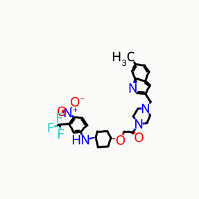 Cc1ccc2cc(CN3CCN(C(=O)CO[C@H]4CC[C@H](Nc5ccc([N+](=O)[O-])c(C(F)(F)F)c5)CC4)CC3)cnc2c1